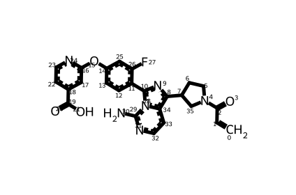 C=CC(=O)N1CCC(c2nc(-c3ccc(Oc4cc(C(=O)O)ccn4)cc3F)n3c(N)nccc23)C1